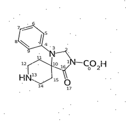 O=C(O)N1CN(c2ccccc2)C2(CCNCC2)C1=O